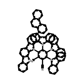 N#Cc1c(C#N)c(-n2c3cc(-c4cccc5c4ccc4ccccc45)ccc3c3ccc4c5ccccc5sc4c32)c(-n2c3ccccc3c3ccccc32)c(-n2c3ccccc3c3ccccc32)c1-n1c2ccccc2c2ccccc21